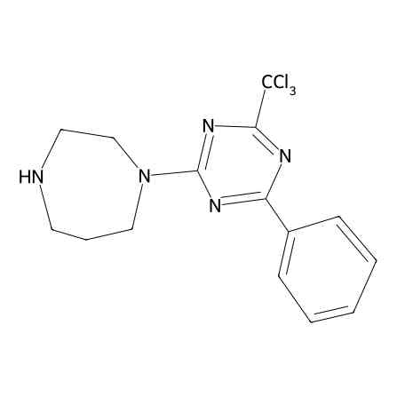 ClC(Cl)(Cl)c1nc(-c2ccccc2)nc(N2CCCNCC2)n1